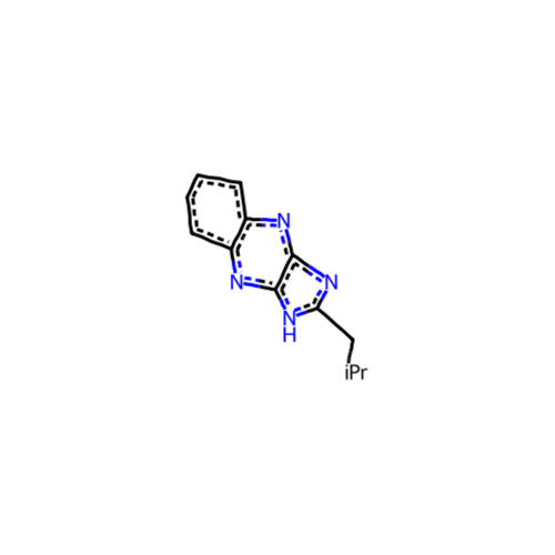 CC(C)Cc1nc2nc3ccccc3nc2[nH]1